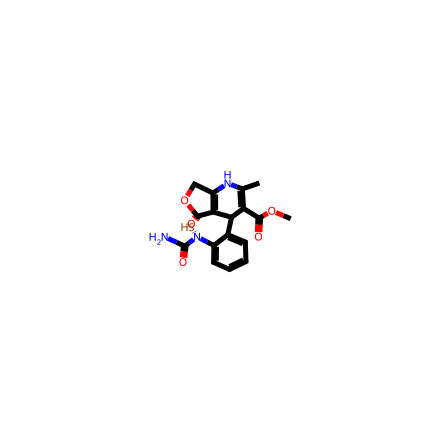 COC(=O)C1=C(C)NC2=C(C(=O)OC2)C1c1ccccc1N(S)C(N)=O